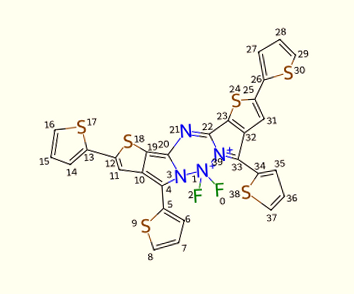 F[N+]1(F)n2c(-c3cccs3)c3cc(-c4cccs4)sc3c2N=C2c3sc(-c4cccs4)cc3C(c3cccs3)=[N+]21